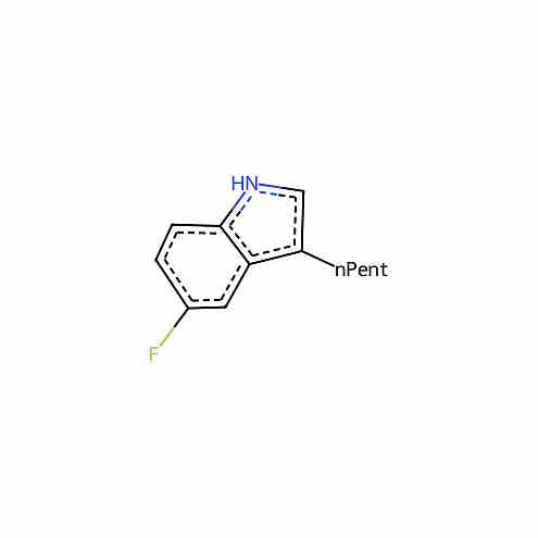 CCCCCc1c[nH]c2ccc(F)cc12